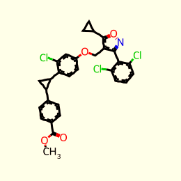 COC(=O)c1ccc(C2CC2c2ccc(OCc3c(-c4c(Cl)cccc4Cl)noc3C3CC3)cc2Cl)cc1